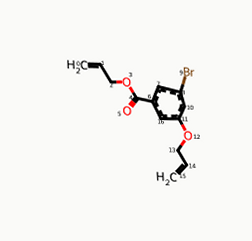 C=CCOC(=O)c1cc(Br)cc(OCC=C)c1